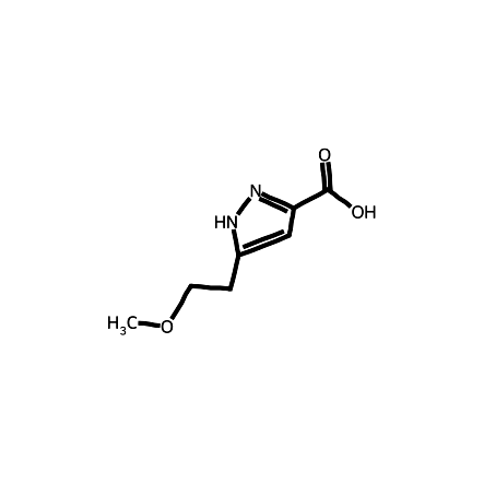 COCCc1cc(C(=O)O)n[nH]1